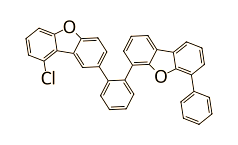 Clc1cccc2oc3ccc(-c4ccccc4-c4cccc5c4oc4c(-c6ccccc6)cccc45)cc3c12